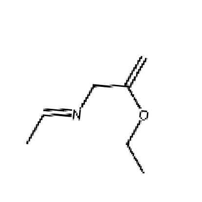 C=C(CN=CC)OCC